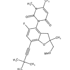 COCC1(C)Cc2c(c(C#C[Si](C)(C)C)cc(F)c2-n2c(=O)cc(C(F)(F)F)n(C)c2=O)O1